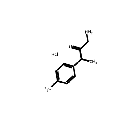 CC(C(=O)CN)c1ccc(C(F)(F)F)cc1.Cl